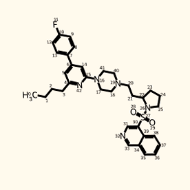 CCCCc1cc(-c2ccc(F)cc2)cc(N2CCN(CCC3CCCN3S(=O)(=O)c3cncc4ccccc34)CC2)n1